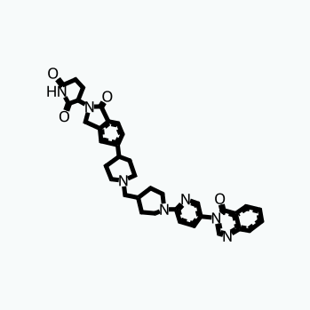 O=C1CCC(N2Cc3cc(C4CCN(CC5CCN(c6ccc(-n7cnc8ccccc8c7=O)cn6)CC5)CC4)ccc3C2=O)C(=O)N1